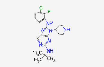 CC(C)(C)Nc1ncc2nc(Nc3cccc(Cl)c3F)n(C3CCNCC3)c2n1